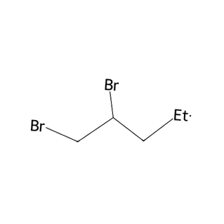 C[CH]CC(Br)CBr